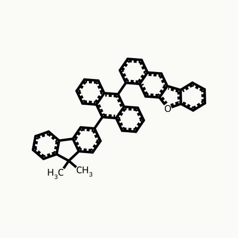 CC1(C)c2ccccc2-c2cc(-c3c4ccccc4c(-c4cccc5cc6c(cc45)oc4ccccc46)c4ccccc34)ccc21